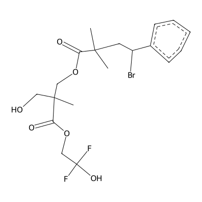 CC(C)(CC(Br)c1ccccc1)C(=O)OCC(C)(CO)C(=O)OCC(O)(F)F